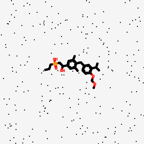 CCCP(=O)(O)CC(O)c1cc(C)c(Cc2ccc(OCOC)c(C(C)C)c2)c(C)c1